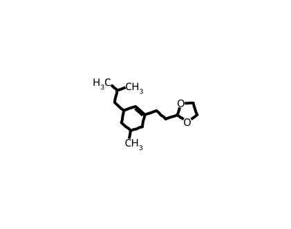 CC(C)CC1C=C(CCC2OCCO2)CC(C)C1